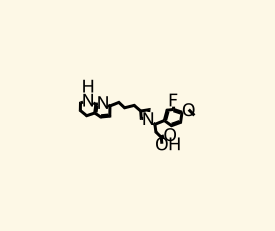 COc1ccc(C(CC(=O)O)N2CC(CCCc3ccc4c(n3)NCCC4)C2)cc1F